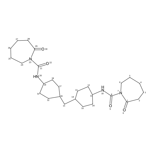 O=C1CCCCCN1C(=O)NC1CCC(CC2CCC(NC(=O)N3CCCCCC3=O)CC2)CC1